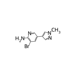 Cn1cc(-c2cnc(N)c(Br)c2)cn1